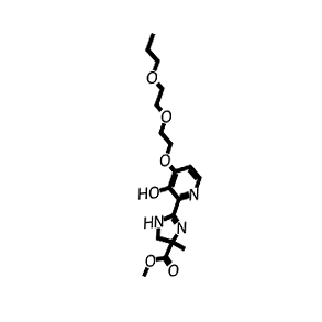 CCCOCCOCCOc1ccnc(C2=NC(C)(C(=O)OC)CN2)c1O